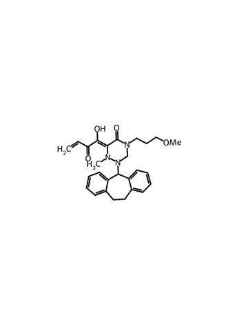 C=CC(=O)/C(O)=C1/C(=O)N(CCCOC)CN(C2c3ccccc3CCc3ccccc32)N1C